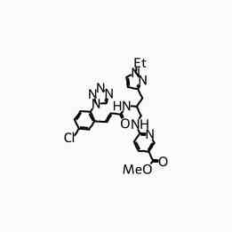 CCn1ccc(CC(CNc2ccc(C(=O)OC)cn2)NC(=O)C=Cc2cc(Cl)ccc2-n2cnnn2)n1